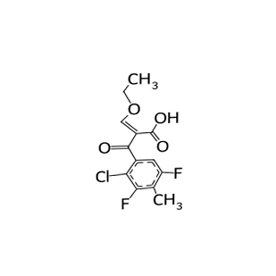 CCOC=C(C(=O)O)C(=O)c1cc(F)c(C)c(F)c1Cl